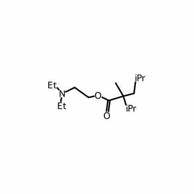 CCN(CC)CCOC(=O)C(C)(CC(C)C)C(C)C